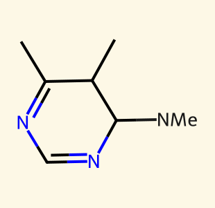 CNC1N=CN=C(C)C1C